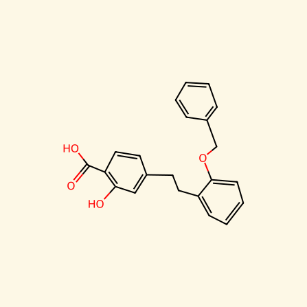 O=C(O)c1ccc(CCc2ccccc2OCc2ccccc2)cc1O